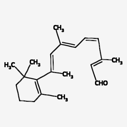 CC(=C/C=C\C(C)=CC=O)C=C(C)C1=C(C)CCCC1(C)C